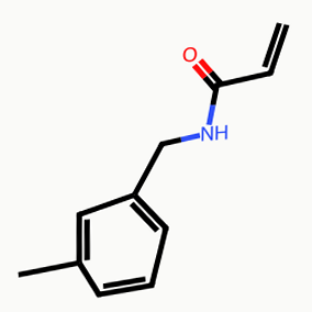 C=CC(=O)NCc1cccc(C)c1